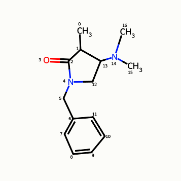 CC1C(=O)N(Cc2ccccc2)CC1N(C)C